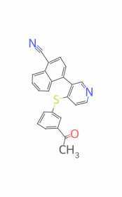 CC(=O)c1cccc(Sc2ccncc2-c2ccc(C#N)c3ccccc23)c1